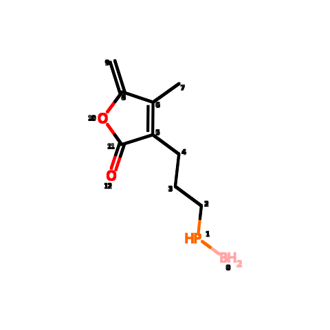 BPCCCC1=C(C)C(=C)OC1=O